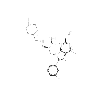 CCOc1nc(C)c2nc(-c3cccc(F)c3)n(C/C(C=N)=C/NCC3CCNCC3)c2n1